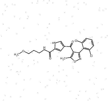 COCCCNC(=O)c1cc(C(=O)c2c(-c3c(Cl)cccc3Cl)noc2C)c[nH]1